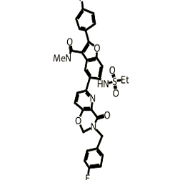 CCS(=O)(=O)Nc1cc2oc(-c3ccc(F)cc3)c(C(=O)NC)c2cc1-c1ccc2c(n1)C(=O)N(Cc1ccc(F)cc1)CO2